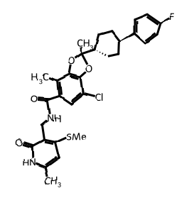 CSc1cc(C)[nH]c(=O)c1CNC(=O)c1cc(Cl)c2c(c1C)O[C@](C)([C@H]1CC[C@H](c3ccc(F)cc3)CC1)O2